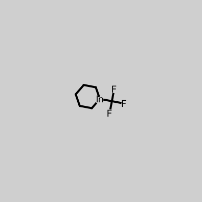 F[C](F)(F)[In]1[CH2]CCC[CH2]1